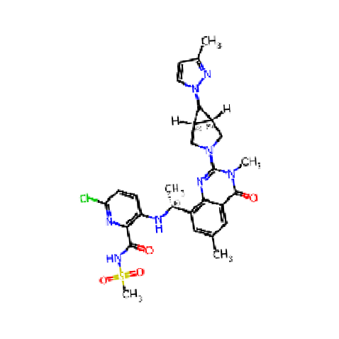 Cc1cc([C@@H](C)Nc2ccc(Cl)nc2C(=O)NS(C)(=O)=O)c2nc(N3C[C@@H]4C(n5ccc(C)n5)[C@@H]4C3)n(C)c(=O)c2c1